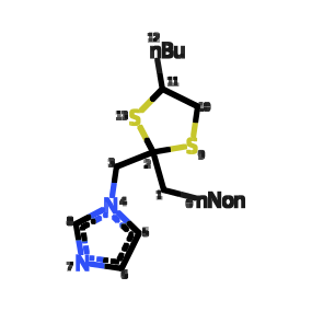 CCCCCCCCCCC1(Cn2ccnc2)SCC(CCCC)S1